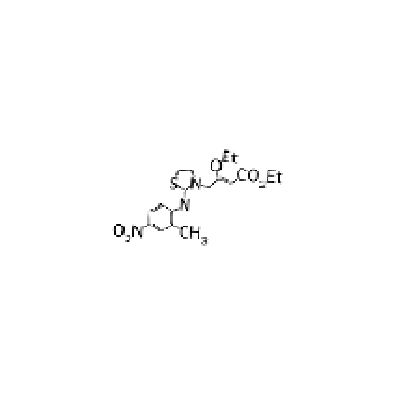 CCOC(=O)/C=C(/CN1CCS/C1=N\c1ccc([N+](=O)[O-])cc1C)OCC